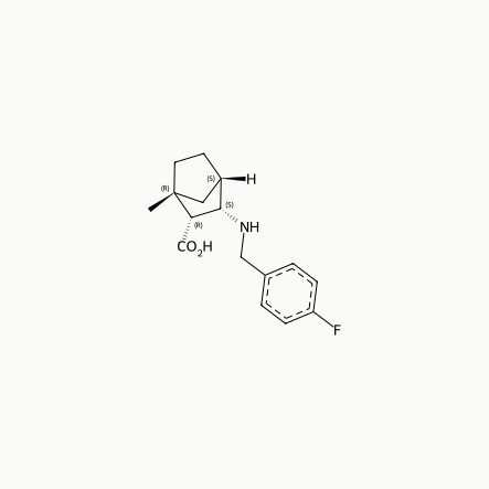 C[C@@]12CC[C@@H](C1)[C@H](NCc1ccc(F)cc1)[C@@H]2C(=O)O